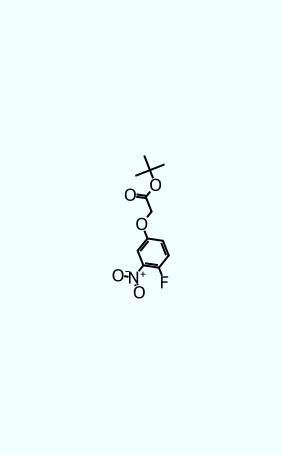 CC(C)(C)OC(=O)COc1ccc(F)c([N+](=O)[O-])c1